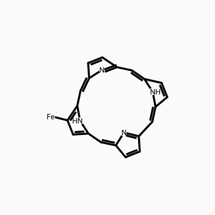 [Fe][c]1cc2cc3nc(cc4ccc(cc5nc(cc1[nH]2)C=C5)[nH]4)C=C3